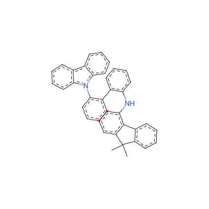 CC1(C)c2ccccc2-c2c(Nc3ccccc3-c3ccccc3-n3c4ccccc4c4ccccc43)cccc21